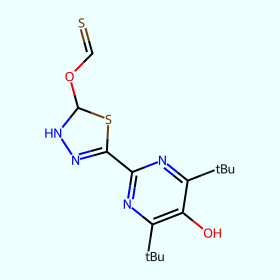 CC(C)(C)c1nc(C2=NNC(OC=S)S2)nc(C(C)(C)C)c1O